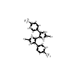 FC(F)(F)c1ccc(-c2nc(I)oc2-c2oc(I)nc2-c2ccc(C(F)(F)F)nc2)cn1